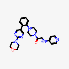 O=C(CNc1ccncc1)N1CCN(c2ccccc2-c2cnc(N3CCOCC3)nc2)CC1